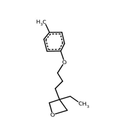 CCC1(CCCOc2ccc(C)cc2)COC1